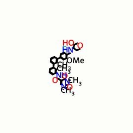 COc1cc(-c2cccc(-c3cccc(NC(=O)c4cn(C)c(=O)n(C)c4=O)c3C)c2C)cc(F)c1CN[C@H]1CCOC[C@H]1O